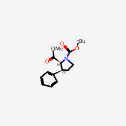 COC(=O)[C@@H]1[C@H](c2ccccc2)CCN1C(=O)OC(C)(C)C